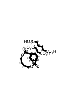 O=C(O)CCC(=O)O.O=C(O)CCCCC(=O)O.O=C1OCCCCOC(=O)c2ccc1cc2